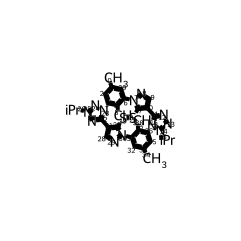 Cc1ccc(C)c(-n2ncc(-c3nnn(C(C)C)n3)c2SSc2c(-c3nnn(C(C)C)n3)cnn2-c2cc(C)ccc2C)c1